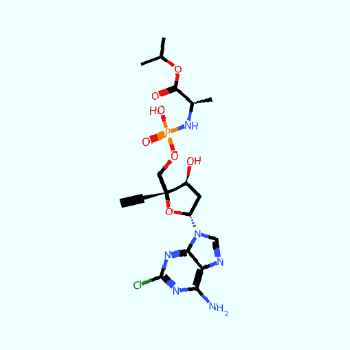 C#C[C@]1(COP(=O)(O)N[C@H](C)C(=O)OC(C)C)O[C@@H](n2cnc3c(N)nc(Cl)nc32)C[C@@H]1O